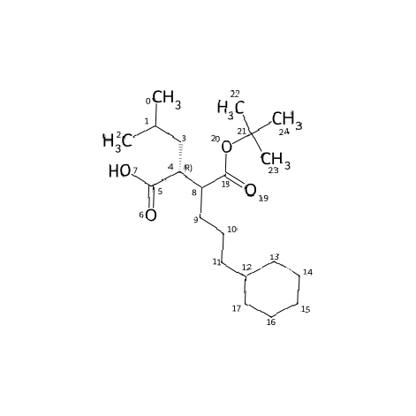 CC(C)C[C@@H](C(=O)O)C(CCCC1CCCCC1)C(=O)OC(C)(C)C